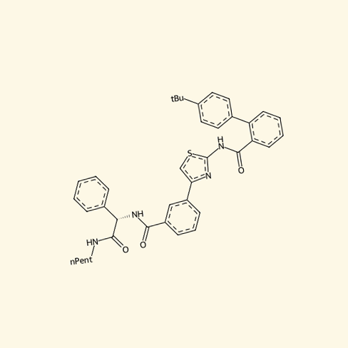 CCCCCNC(=O)[C@@H](NC(=O)c1cccc(-c2csc(NC(=O)c3ccccc3-c3ccc(C(C)(C)C)cc3)n2)c1)c1ccccc1